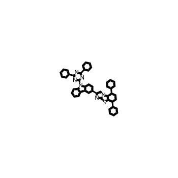 c1ccc(-c2nc(-c3ccccc3)nc(-n3c4ccccc4c4cc(-c5cn6c(n5)sc5c(-c7ccccc7)ccc(-c7ccccc7)c56)ccc43)n2)cc1